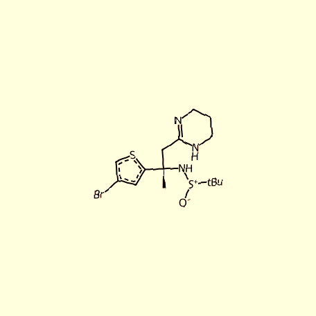 CC(C)(C)[S+]([O-])N[C@@](C)(CC1=NCCCN1)c1cc(Br)cs1